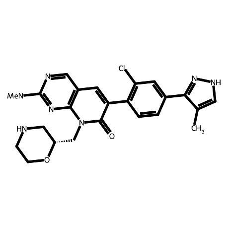 CNc1ncc2cc(-c3ccc(-c4n[nH]cc4C)cc3Cl)c(=O)n(C[C@H]3CNCCO3)c2n1